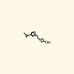 CC1CC1c1cnn(CCN2CC(O)C2)c1